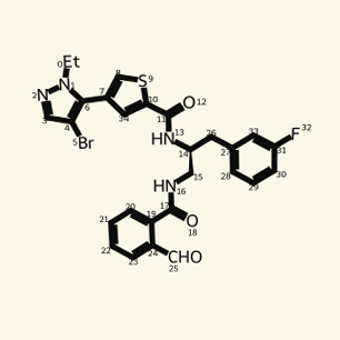 CCn1ncc(Br)c1-c1csc(C(=O)N[C@H](CNC(=O)c2ccccc2C=O)Cc2cccc(F)c2)c1